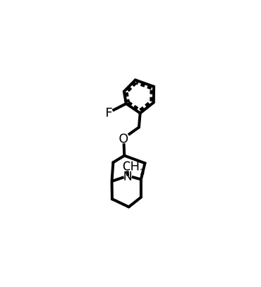 CN1C2CCCC1CC(OCc1ccccc1F)C2